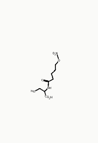 O=C(CCCCO[N+](=O)[O-])NC(CO)C(=O)O